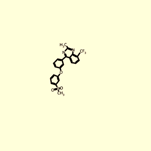 Cc1nc(-c2cccc(Oc3cccc(S(C)(=O)=O)c3)c2)c2cccc(C(F)(F)F)c2n1